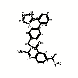 CCCCc1nc2ccc(C(C)OC(C)=O)cc2c(=O)n1Cc1ccc(-c2ccccc2-c2nnn[nH]2)cc1